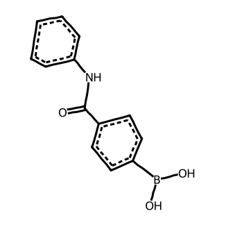 O=C(Nc1ccccc1)c1ccc(B(O)O)cc1